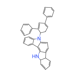 C1=CC2Nc3c(ccc4c3c3ccccc3n4C3CC=C(c4ccccc4)C=C3c3ccccc3)C2C=C1